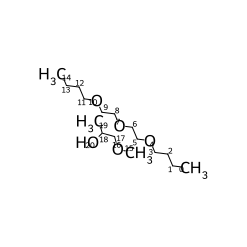 CCCCOCCOCCOCCCC.COCC(C)O